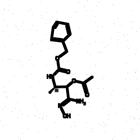 CC(=O)OC(C(N)=NO)[C@H](C)NC(=O)OCc1ccccc1